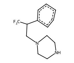 FC(F)(F)[C](CN1CCNCC1)c1ccccc1